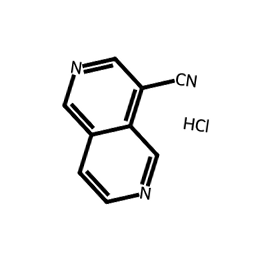 Cl.N#Cc1cncc2ccncc12